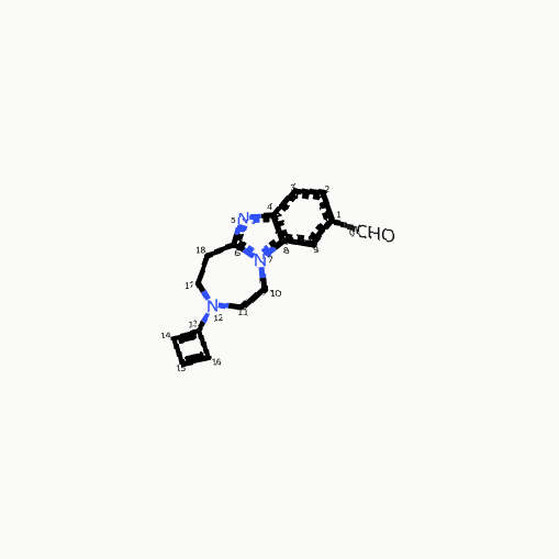 O=Cc1ccc2nc3n(c2c1)CCN(C1=CC=C1)CC3